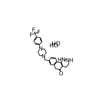 Cl.Cl.O=C1Cc2cc(CN3CCN(c4ccc(C(F)(F)F)cc4)CC3)ccc2C2=C1CCNN2